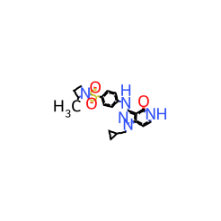 CC1CCN1S(=O)(=O)c1ccc(Nc2nn(CC3CC3)c3cc[nH]c(=O)c23)cc1